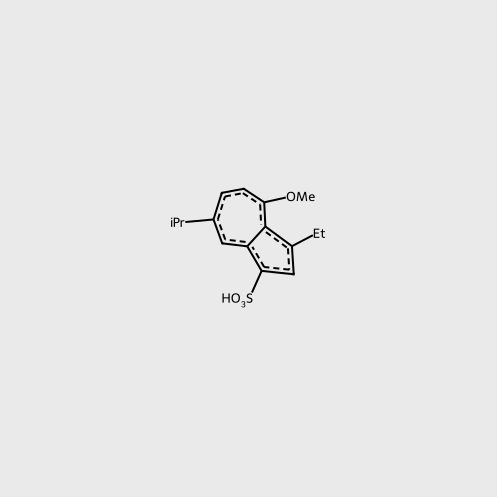 CCc1cc(S(=O)(=O)O)c2cc(C(C)C)ccc(OC)c1-2